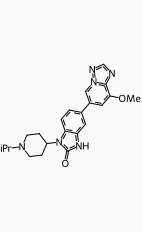 COc1cc(-c2ccc3c(c2)[nH]c(=O)n3C2CCN(C(C)C)CC2)cn2ncnc12